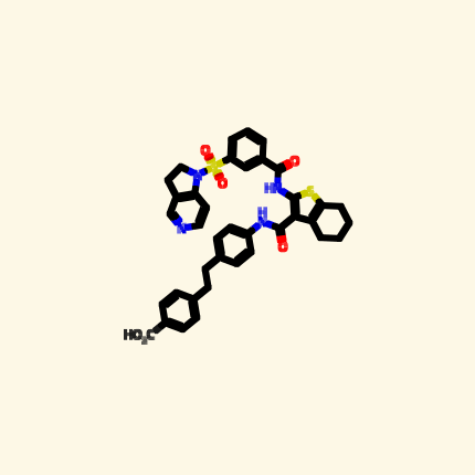 O=C(O)c1ccc(CCc2ccc(NC(=O)c3c(NC(=O)c4cccc(S(=O)(=O)N5CCc6cnccc65)c4)sc4c3CCCC4)cc2)cc1